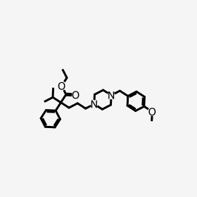 CCOC(=O)C(CCCN1CCN(Cc2ccc(OC)cc2)CC1)(c1ccccc1)C(C)C